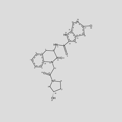 O=C(NC1Cc2ccccc2N(CC(=O)N2CC[C@H](O)C2)C1=O)c1cc2cc(Cl)ncc2[nH]1